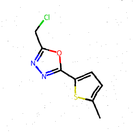 Cc1ccc(-c2nnc(CCl)o2)s1